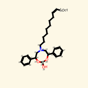 CCCCCCCC/C=C\CCCCCCCCN1CC(c2ccccc2)OB(O)OC(c2ccccc2)C1